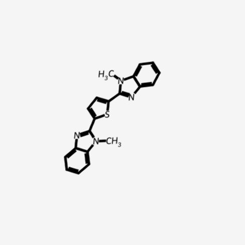 Cn1c(-c2ccc(-c3nc4ccccc4n3C)s2)nc2ccccc21